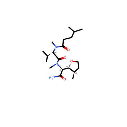 CC(C)CCC(=O)N(C)[C@H](C(=O)N(C)[C@H](C(N)=O)[C@@H]1OCC[C@H]1C)C(C)C